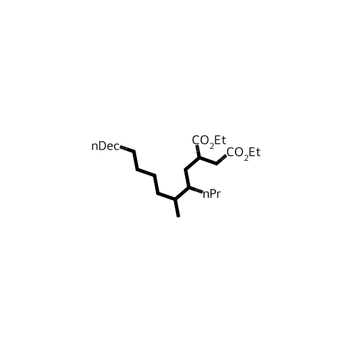 CCCCCCCCCCCCCCC(C)C(CCC)CC(CC(=O)OCC)C(=O)OCC